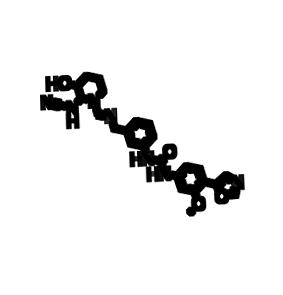 COc1cc(NC(=O)Nc2cccc(CN=CN3CCCC(O)C3NC#N)c2)ccc1-c1cnco1